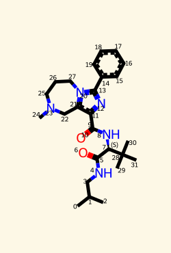 CC(C)CNC(=O)[C@@H](NC(=O)c1nc(-c2ccccc2)n2c1CN(C)CCC2)C(C)(C)C